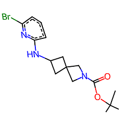 CC(C)(C)OC(=O)N1CC2(CC(Nc3cccc(Br)n3)C2)C1